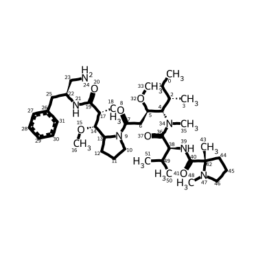 CC[C@H](C)[C@@H]([C@@H](CC(=O)N1CCCC1[C@H](OC)[C@@H](C)C(=O)N[C@H](CN)Cc1ccccc1)OC)N(C)C(=O)[C@@H](NC(=O)[C@]1(C)CCCN1C)C(C)C